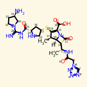 C[C@@H](NC(=O)Cn1cnnn1)[C@H]1C(=O)N2C(C(=O)O)=C(S[C@@H]3CN[C@H](C(=O)NC(=N)N4CC[C@@H](N)C4)C3)[C@H](C)[C@H]12